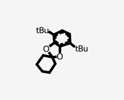 CC(C)(C)c1ccc(C(C)(C)C)c2c1OC1(CCCCC1)O2